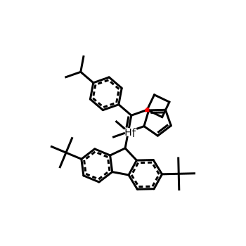 CC(C)c1ccc([C](C2CCC2)=[Hf]([CH3])([CH3])([CH]2C=CC=C2)[CH]2c3cc(C(C)(C)C)ccc3-c3ccc(C(C)(C)C)cc32)cc1